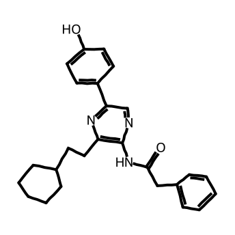 O=C(Cc1ccccc1)Nc1ncc(-c2ccc(O)cc2)nc1CCC1CCCCC1